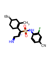 CC1=C(/C(=C\C=N)S(=O)(=O)Nc2ccc(C#N)cc2F)CCC(C(C)(C)C)C1